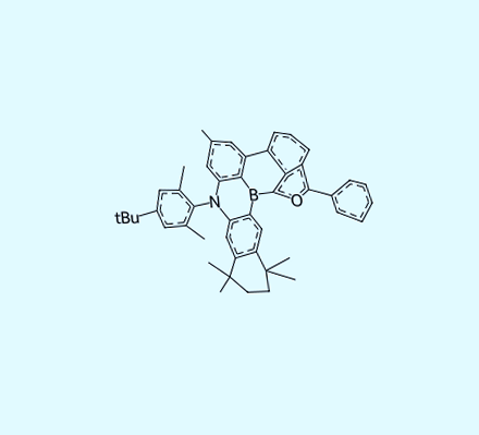 Cc1cc2c3c(c1)N(c1c(C)cc(C(C)(C)C)cc1C)c1cc4c(cc1B3c1oc(-c3ccccc3)c3cccc-2c13)C(C)(C)CCC4(C)C